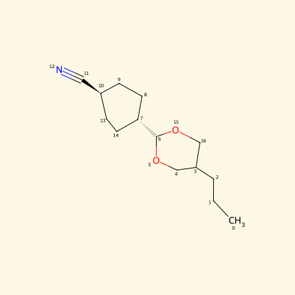 CCCC1COC([C@H]2CC[C@H](C#N)CC2)OC1